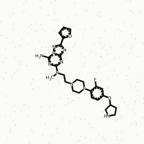 CN(CCN1CCN(c2ccc(OC3CCNC3)cc2F)CC1)c1nc(N)n2nc(-c3ccco3)nc2n1